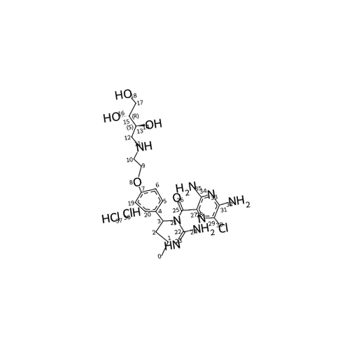 CCCC(c1ccc(OCCNC[C@H](O)[C@H](O)CO)cc1)N(C(=N)N)C(=O)c1nc(Cl)c(N)nc1N.Cl.Cl